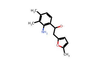 [CH2]c1ccc(C([O])Cc2ccc(C)o2)c(N)c1C